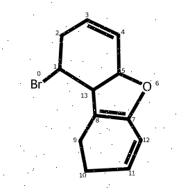 BrC1CC=CC2OC3=C(CCC=C3)C12